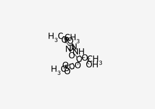 CCOP(C)(=O)Cc1cnc(NC(=O)c2cc(Oc3ccc(S(C)(=O)=O)cc3)cc(O[C@@H](C)CO)c2)cn1